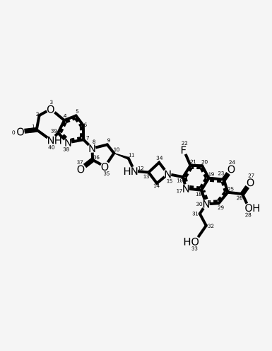 O=C1COc2ccc(N3C[C@@H](CNC4CN(c5nc6c(cc5F)c(=O)c(C(=O)O)cn6CCO)C4)OC3=O)nc2N1